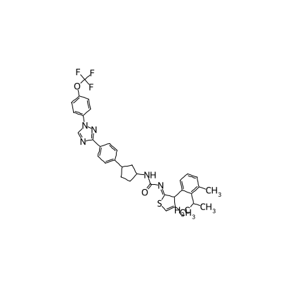 CC1=CS/C(=N\C(=O)NC2CCC(c3ccc(-c4ncn(-c5ccc(OC(F)(F)F)cc5)n4)cc3)C2)C1c1cccc(C)c1C(C)C